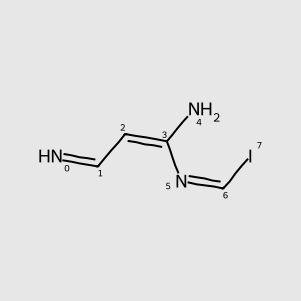 N=C/C=C(N)\N=C/I